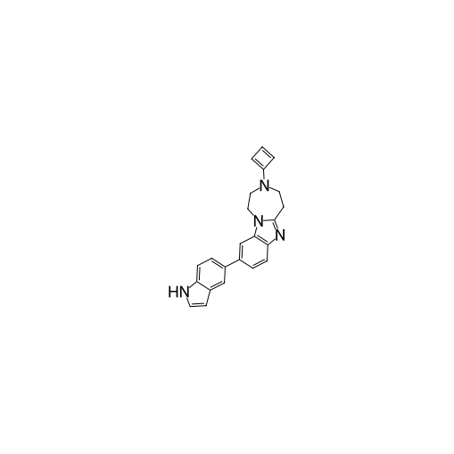 C1=CC(N2CCc3nc4ccc(-c5ccc6[nH]ccc6c5)cc4n3CC2)=C1